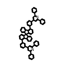 c1ccc(-c2cc(-c3cccc(-c4cccc5c4-c4ccccc4C54c5ccccc5-c5c(-c6cccc(-c7cc(-c8ccccc8)nc(-c8ccccc8)c7)c6)cccc54)c3)cc(-c3ccccc3)n2)cc1